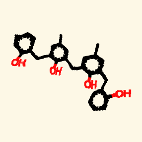 Cc1cc(Cc2ccccc2O)c(O)c(Cc2cc(C)cc(Cc3ccccc3O)c2O)c1